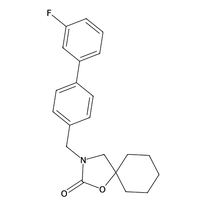 O=C1OC2(CCCCC2)CN1Cc1ccc(-c2cccc(F)c2)cc1